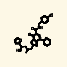 CN(Cc1cc2c(=O)c(C(=O)NCc3ccc(Cl)cc3)cn(-c3ccccn3)c2o1)C[C@@H](O)c1ccco1